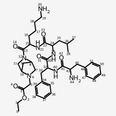 CCOC(=O)CN1CC2CC1CN2C(=O)C(CCCCN)NC(=O)C(CC(C)C)NC(=O)C(Cc1ccccc1)NC(=O)C(N)Cc1ccccc1